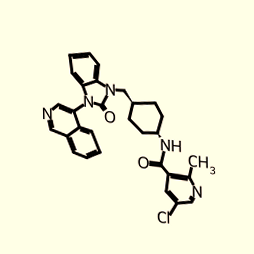 Cc1ncc(Cl)cc1C(=O)N[C@H]1CC[C@H](Cn2c(=O)n(-c3cncc4ccccc34)c3ccccc32)CC1